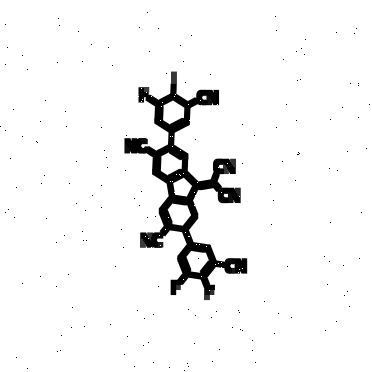 N#CC1=CC2=C(CC1c1cc(F)c(F)c(C#N)c1)C(=C(C#N)C#N)c1cc(C3=CC(C#N)C(I)C(F)=C3)c(C#N)cc12